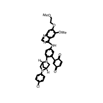 COCCOc1cc2ncnc(Nc3ccc(N4C[C@H]5C[C@@H]4CN5c4ccc(Cl)cc4)c(C4=CC(=O)C=CC4=O)c3)c2cc1OC